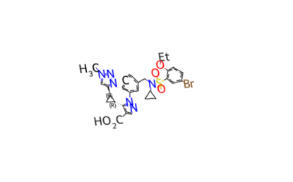 CCOc1ccc(Br)cc1S(=O)(=O)N(Cc1cccc(-n2ncc(C(=O)O)c2[C@@H]2C[C@H]2c2cn(C)nn2)c1)C1CC1